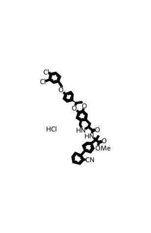 COC(=O)C(C)(NC(=O)C1Cc2cc3c(cc2CN1)O[C@@H](c1ccc(OCc2ccc(Cl)c(Cl)c2)cc1)CO3)c1ccc(-c2ccccc2C#N)cc1.Cl